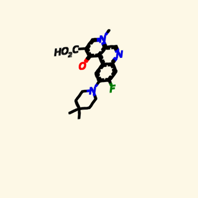 Cn1cc(C(=O)O)c(=O)c2c3cc(N4CCC(C)(C)CC4)c(F)cc3ncc21